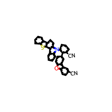 N#Cc1ccc2oc3ccc(-c4c(C#N)cccc4-n4c5ccccc5c5c6sc7ccccc7c6ccc54)cc3c2c1